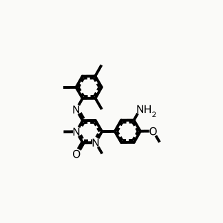 COc1ccc(-c2cc(=Nc3c(C)cc(C)cc3C)n(C)c(=O)n2C)cc1N